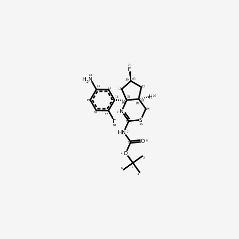 CC(C)(C)OC(=O)NC1=N[C@@]2(c3cc(N)ccc3F)C[C@@H](F)C[C@H]2CS1